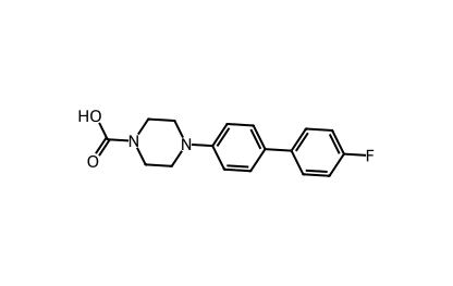 O=C(O)N1CCN(c2ccc(-c3ccc(F)cc3)cc2)CC1